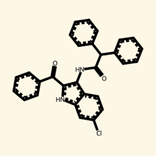 O=C(c1ccccc1)c1[nH]c2cc(Cl)ccc2c1NC(=O)C(c1ccccc1)c1ccccc1